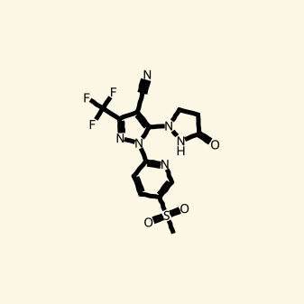 CS(=O)(=O)c1ccc(-n2nc(C(F)(F)F)c(C#N)c2N2CCC(=O)N2)nc1